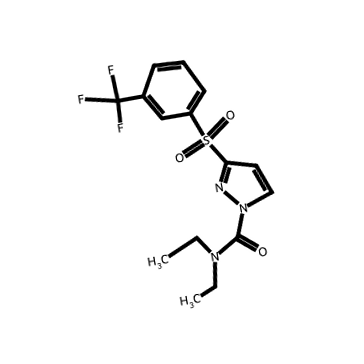 CCN(CC)C(=O)n1ccc(S(=O)(=O)c2cccc(C(F)(F)F)c2)n1